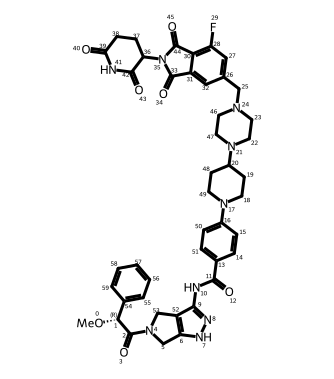 CO[C@@H](C(=O)N1Cc2[nH]nc(NC(=O)c3ccc(N4CCC(N5CCN(Cc6cc(F)c7c(c6)C(=O)N(C6CCC(=O)NC6=O)C7=O)CC5)CC4)cc3)c2C1)c1ccccc1